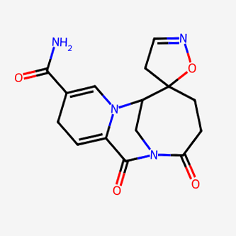 NC(=O)C1=CN2C(=CC1)C(=O)N1CC2C2(CC=NO2)CCC1=O